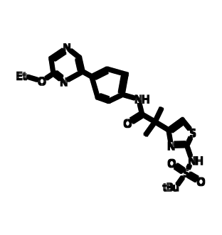 CCOc1cncc(-c2ccc(NC(=O)C(C)(C)c3csc(NS(=O)(=O)C(C)(C)C)n3)cc2)n1